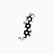 CCc1ccc(-c2ccc(C3CCC(C)CO3)c(F)c2)c(F)c1F